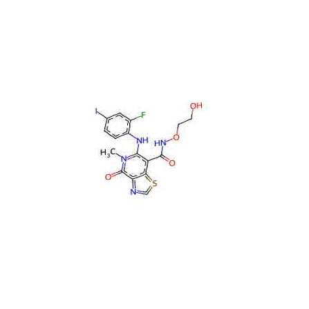 Cn1c(Nc2ccc(I)cc2F)c(C(=O)NOCCO)c2scnc2c1=O